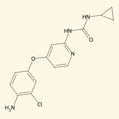 Nc1ccc(Oc2ccnc(NC(=O)NC3CC3)c2)cc1Cl